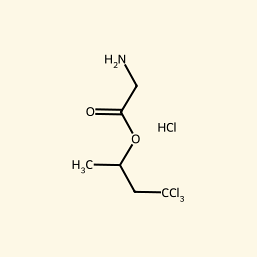 CC(CC(Cl)(Cl)Cl)OC(=O)CN.Cl